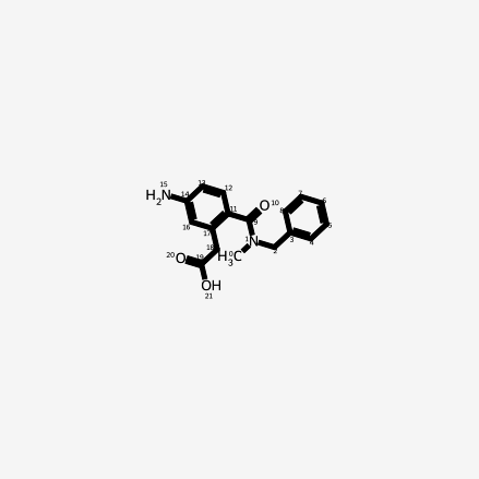 CN(Cc1ccccc1)C(=O)c1ccc(N)cc1CC(=O)O